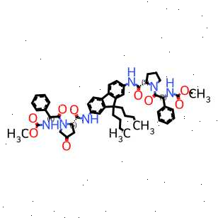 CCCCC1(CCCC)c2cc(NC(=O)[C@@H]3CCCN3C(=O)[C@H](NC(=O)OC)c3ccccc3)ccc2-c2ccc(NC(=O)[C@@H]3CC(=O)CN3C(=O)[C@H](NC(=O)OC)c3ccccc3)cc21